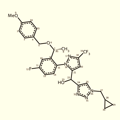 COc1ccc(CO[C@H](C)c2cc(F)ccc2-n2nc(C(F)(F)F)cc2C(O)c2cn(CC3CC3)nn2)cc1